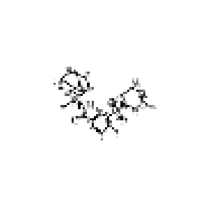 Cc1ccc(C(=O)NC(C)C23CC4CC(CC(C4)C2)C3)cc1S(=O)(=O)N1CC(C)OC(C)C1